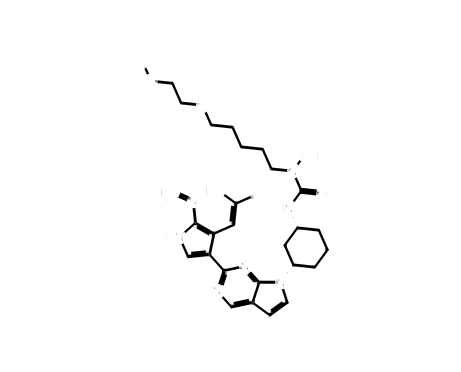 C=Nc1[nH]cc(-c2ncc3ccn([C@H]4CCC[C@@H](NC(=O)N(C)CCCCCOCCOCC)C4)c3n2)c1/C=C(\C)F